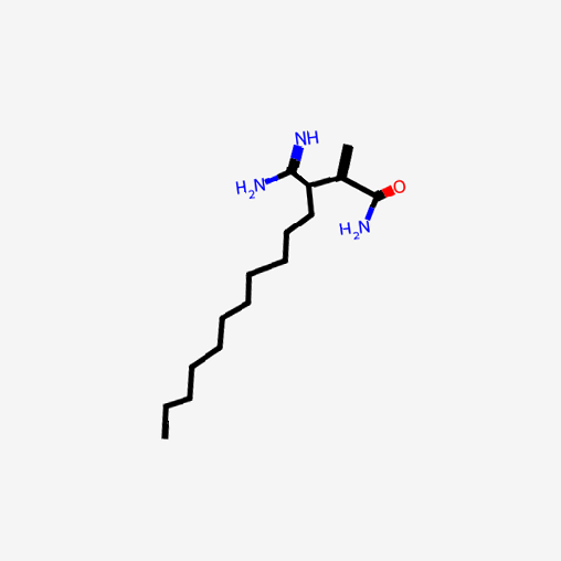 C=C(C(N)=O)C(CCCCCCCCCCC)C(=N)N